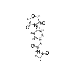 O=C1CCN1C(=O)Cc1ccc(N2C(=O)COCC2=O)cc1